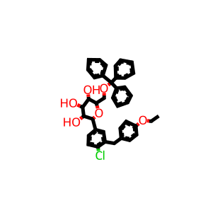 CCOc1ccc(Cc2cc(C3OC(COC(c4ccccc4)(c4ccccc4)c4ccccc4)C(O)C(O)C3O)ccc2Cl)cc1